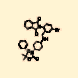 CC1(C)OC(=O)N([C@H]2CC[C@H](NCc3cc(Br)ccc3N3C(=O)c4ccccc4C3=O)CC2)[C@H]1c1ccccc1